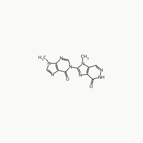 Cn1cnc2c(=O)n(-c3nc4c(=O)[nH]ncc4n3C)cnc21